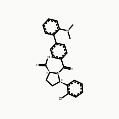 CN(C)c1ccccc1-c1ccc(C(=O)N2[C@@H](c3ccccc3Cl)CC[C@H]2C(=O)O)cc1